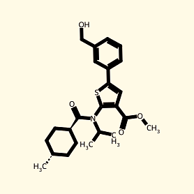 COC(=O)c1cc(-c2cccc(CO)c2)sc1N(C(=O)[C@H]1CC[C@H](C)CC1)C(C)C